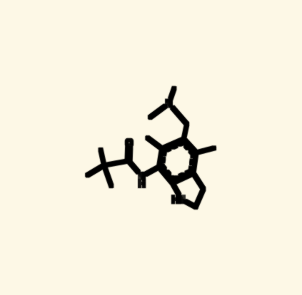 Cc1c(CN(C)C)c(C)c(NC(=O)C(C)(C)C)c2c1CCN2